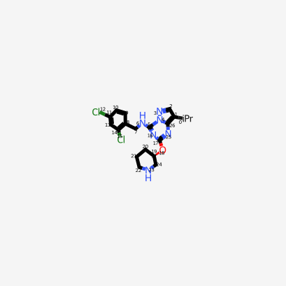 CC(C)c1cnn2c(NCc3ccc(Cl)cc3Cl)nc(O[C@@H]3CCCNC3)nc12